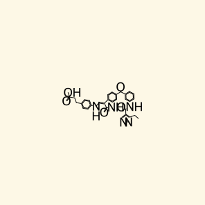 CCc1c(C(=O)Nc2cccc(C(=O)c3ccc4c(c3)NC(=O)C4=CNc3ccc(CCC(=O)O)cc3)c2)cnn1C